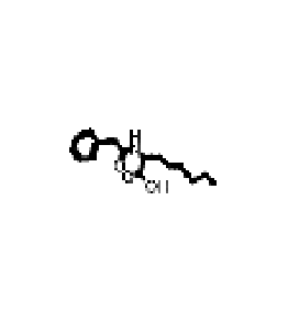 CCCCCCC(NC(=O)Cc1ccccc1)C(=O)O